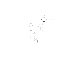 COc1cc(N2CCN(C(=O)Cn3nc(-n4cccn4)c(Cl)c3C)C(C)C2)ccc1Cl.c1cn[nH]c1